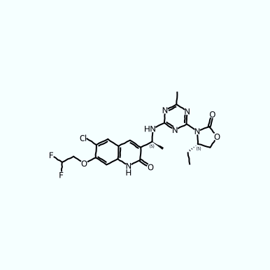 CC[C@H]1COC(=O)N1c1nc(C)nc(N[C@@H](C)c2cc3cc(Cl)c(OCC(F)F)cc3[nH]c2=O)n1